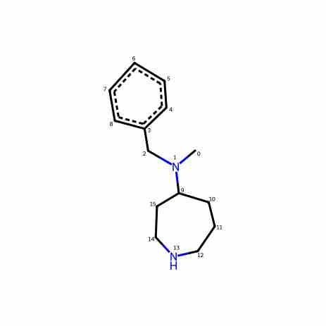 CN(Cc1ccccc1)C1CCCNCC1